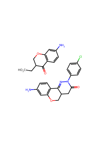 Nc1ccc2c(c1)OCC(CC(=O)O)C2=O.Nc1ccc2c(c1)OCC1CC(=O)N(c3ccc(Cl)cc3)N=C21